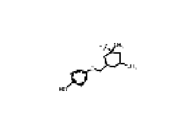 CC1CC(COc2ccc(O)cc2)CC(C)(C)C1